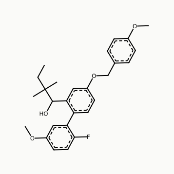 CCC(C)(C)C(O)c1cc(OCc2ccc(OC)cc2)ccc1-c1cc(OC)ccc1F